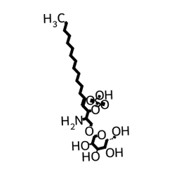 CCCCCCCCCCCCCC=CC(OS(=O)(=O)O)C(N)COC1O[C@H](CO)[C@H](O)[C@H](O)[C@H]1O